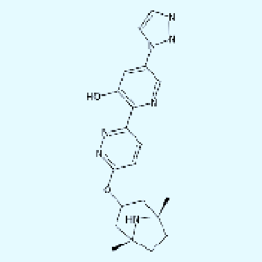 C[C@]12CC[C@](C)(CC(Oc3ccc(-c4ncc(-n5ccnn5)cc4O)nn3)C1)N2